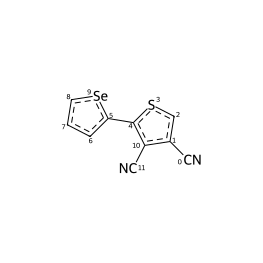 N#Cc1csc(-c2ccc[se]2)c1C#N